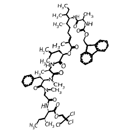 CCC(C)[C@@H](NC(=O)C(C)NC(=O)OCC1c2ccccc2-c2ccccc21)[C@@H](C)CC/C=C(\C)C(=O)O[C@H](CC(C)C)C(=O)N[C@H](C)C(=O)N(C)[C@H](Cc1ccccc1)C(=O)N(C)CC(=O)N[C@H](C(=O)OCC(Cl)(Cl)Cl)[C@H](C)CC